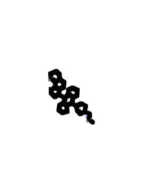 C/N=C/C1C=CC(c2c3ccccc3c(-c3ccnc4c3ccc3cccnc34)c3ccccc23)=CC1